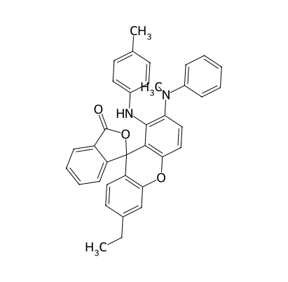 CCc1ccc2c(c1)Oc1ccc(N(C)c3ccccc3)c(Nc3ccc(C)cc3)c1C21OC(=O)c2ccccc21